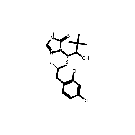 C[C@@H](Cc1ccc(Cl)cc1Cl)C[C@@H](C(O)C(C)(C)C)n1nc[nH]c1=S